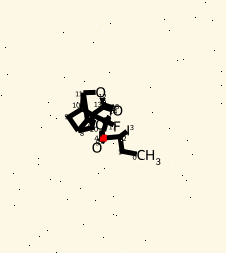 CCC(I)C(=O)OC1C2CC3C1OC(=O)C3(C(F)(F)F)C2